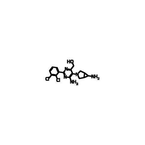 Nc1nc(-c2cccc(Cl)c2Cl)nc(CO)c1N1CC2C(N)C2C1